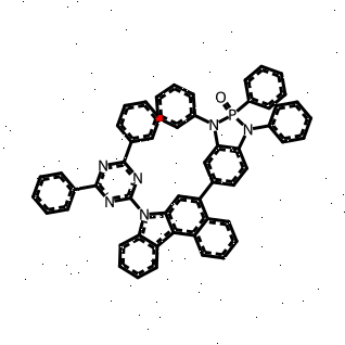 O=P1(c2ccccc2)N(c2ccccc2)c2ccc(-c3cc4c(c5ccccc35)c3ccccc3n4-c3nc(-c4ccccc4)nc(-c4ccccc4)n3)cc2N1c1ccccc1